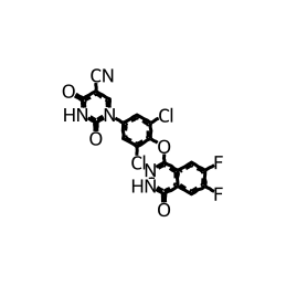 N#Cc1cn(-c2cc(Cl)c(Oc3n[nH]c(=O)c4cc(F)c(F)cc34)c(Cl)c2)c(=O)[nH]c1=O